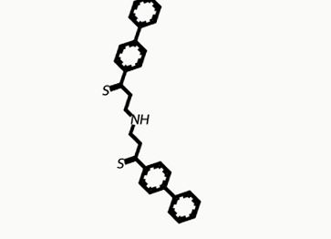 S=C(CCNCCC(=S)c1ccc(-c2ccccc2)cc1)c1ccc(-c2ccccc2)cc1